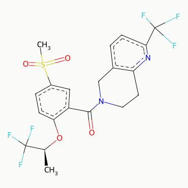 C[C@H](Oc1ccc(S(C)(=O)=O)cc1C(=O)N1CCc2nc(C(F)(F)F)ccc2C1)C(F)(F)F